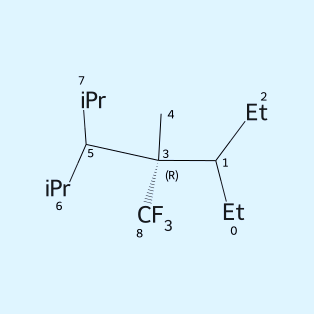 CCC(CC)[C@](C)(C(C(C)C)C(C)C)C(F)(F)F